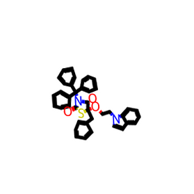 O=C1SC(Cc2ccccc2)(OCCn2ccc3ccccc32)C(=O)N1C(c1ccccc1)(c1ccccc1)c1ccccc1